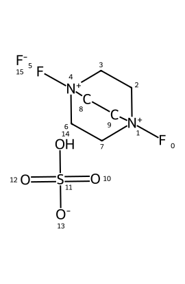 F[N+]12CC[N+](F)(CC1)CC2.O=S(=O)([O-])O.[F-]